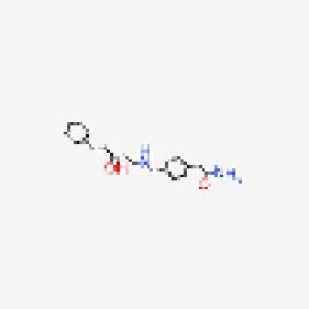 NC(=O)Cc1ccc(CNCC[C@H](O)[CH]Cc2ccccc2)cc1